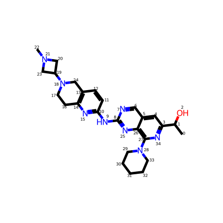 CC(O)c1cc2cnc(Nc3ccc4c(n3)CCN(C3CN(C)C3)C4)nc2c(N2CCCCC2)n1